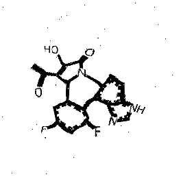 CC(=O)C1=C(O)C(=O)N2c3ccc4[nH]cnc4c3-c3c(F)cc(F)cc3C12